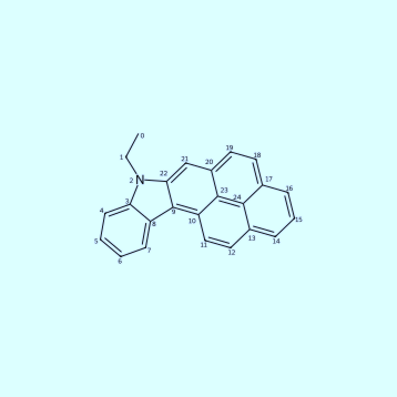 CCn1c2ccccc2c2c3ccc4cccc5ccc(cc21)c3c54